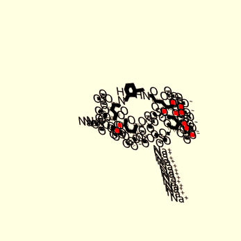 O=C(NCc1cccc(CNC(=O)[C@H](OS(=O)(=O)[O-])[C@@H](OS(=O)(=O)[O-])[C@H](O[C@@H]2O[C@H](COS(=O)(=O)[O-])[C@H](OS(=O)(=O)[O-])[C@H](OS(=O)(=O)[O-])[C@H]2OS(=O)(=O)[O-])[C@@H](COS(=O)(=O)[O-])OS(=O)(=O)[O-])c1)[C@@H](OS(=O)(=O)[O-])[C@H](OS(=O)(=O)[O-])[C@@H](O[C@H]1O[C@@H](COS(=O)(=O)[O-])[C@@H](OS(=O)(=O)[O-])[C@@H](OS(=O)(=O)[O-])[C@@H]1OS(=O)(=O)[O-])[C@H](COS(=O)(=O)[O-])OS(=O)(=O)[O-].[Na+].[Na+].[Na+].[Na+].[Na+].[Na+].[Na+].[Na+].[Na+].[Na+].[Na+].[Na+].[Na+].[Na+].[Na+].[Na+]